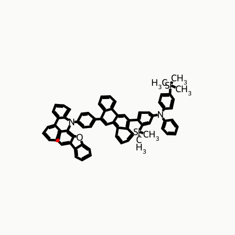 C[Si](C)(C)c1ccc(N(c2ccccc2)c2ccc3c(c2)[Si](C)(C)c2cccc4c2c-3cc2c3ccccc3c(-c3ccc(N(c5ccccc5-c5ccccc5)c5cccc6c5oc5ccccc56)cc3)cc42)cc1